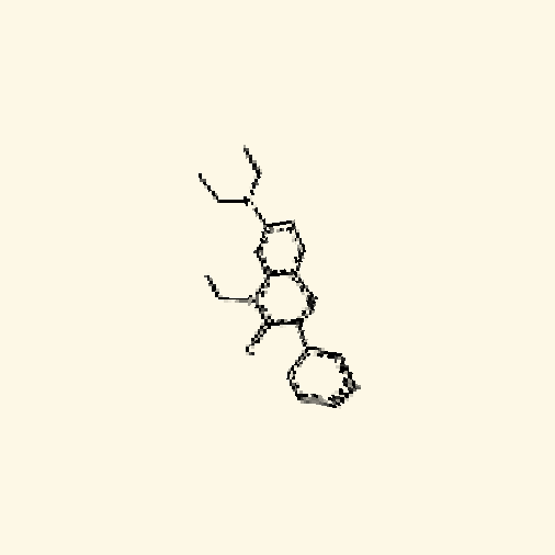 CCN(CC)c1ccc2cc(-c3ccccc3)c(=O)n(CC)c2c1